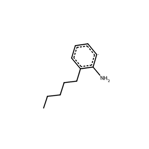 CCCCCc1ccc[c]c1N